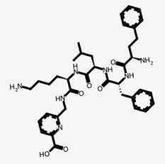 CC(C)C[C@@H](NC(=O)[C@@H](Cc1ccccc1)NC(=O)[C@H](N)CCc1ccccc1)C(=O)N[C@H](CCCCN)C(=O)NCc1cccc(C(=O)O)n1